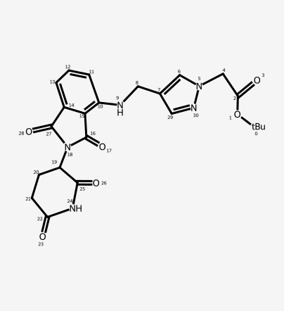 CC(C)(C)OC(=O)Cn1cc(CNc2cccc3c2C(=O)N(C2CCC(=O)NC2=O)C3=O)cn1